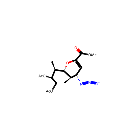 COC(=O)C1=C[C@H](N=[N+]=[N-])[C@@H](C)[C@H]([C@H](C)[C@@H](COC(C)=O)OC(C)=O)O1